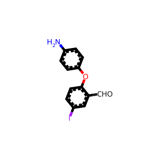 Nc1ccc(Oc2ccc(I)cc2C=O)cc1